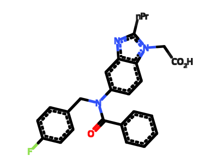 CCCc1nc2cc(N(Cc3ccc(F)cc3)C(=O)c3ccccc3)ccc2n1CC(=O)O